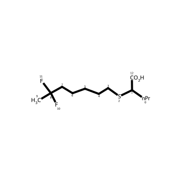 CCCC(SCCCCCC(C)(F)F)C(=O)O